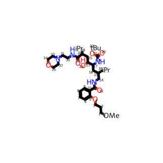 COCCCOc1ccccc1C(=O)NCC(CC(NC(=O)OC(C)(C)C)C(O)CC(C(=O)NCCN1CCOCC1)C(C)C)C(C)C